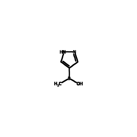 CB(O)c1cn[nH]c1